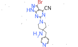 N#Cc1nc(N2CCC(N)(Cc3ccncc3)CC2)nc2[nH]nc(Br)c12